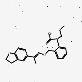 COCN(C(=O)O)c1ccccc1CON=C(C)c1ccc2c(c1)CCO2